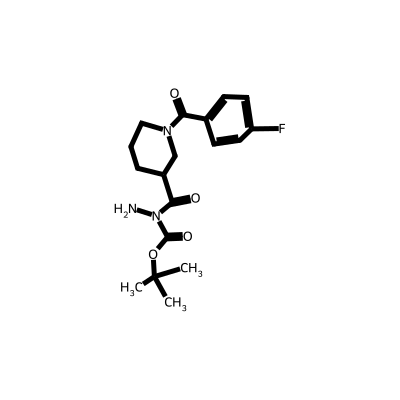 CC(C)(C)OC(=O)N(N)C(=O)C1CCCN(C(=O)c2ccc(F)cc2)C1